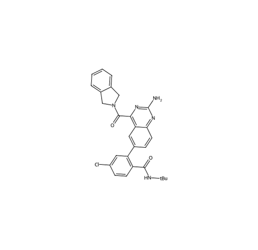 CC(C)(C)NC(=O)c1ccc(Cl)cc1-c1ccc2nc(N)nc(C(=O)N3Cc4ccccc4C3)c2c1